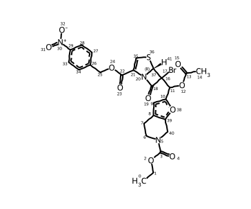 CCOC(=O)N1CCc2cc(C(OC(C)=O)C3(Br)C(=O)N4C(C(=O)OCc5ccc([N+](=O)[O-])cc5)=CS[C@@H]43)oc2C1